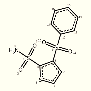 NS(=O)(=O)c1sccc1S(=O)(=O)c1ccccc1